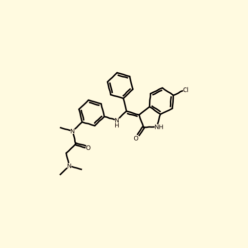 CN(C)CC(=O)N(C)c1cccc(N/C(=C2\C(=O)Nc3cc(Cl)ccc32)c2ccccc2)c1